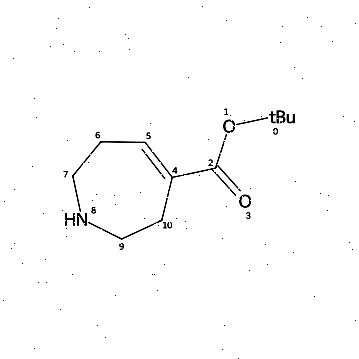 CC(C)(C)OC(=O)C1=CCCNCC1